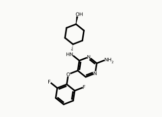 Nc1ncc(Oc2c(F)cccc2F)c(N[C@H]2CC[C@H](O)CC2)n1